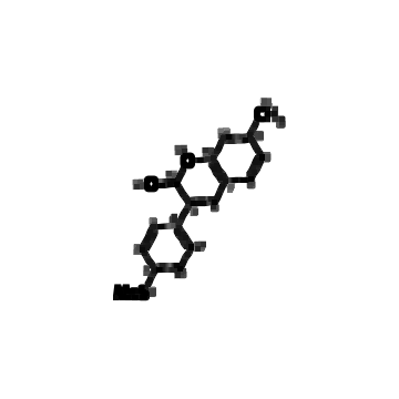 CSc1ccc(-c2cc3ccc(C)cc3oc2=O)cc1